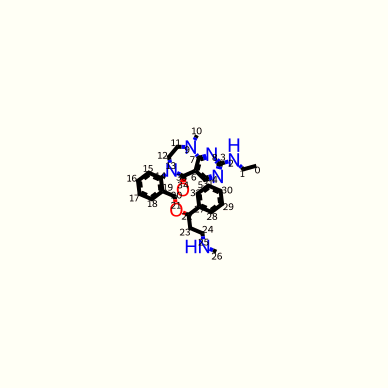 CCNc1ncc2c(n1)N(C)CCN(c1ccccc1COC(CCNC)c1ccccc1)C2=O